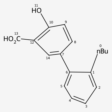 CCCCc1ccccc1-c1ccc(O)c(C(=O)O)c1